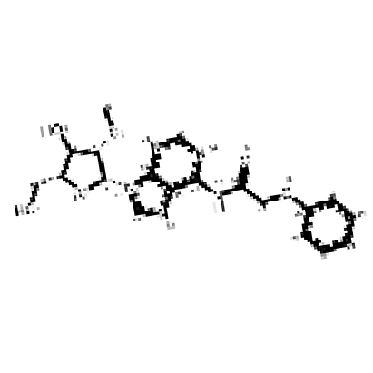 CO[C@H]1C(O)[C@@H](CO)O[C@H]1n1cnc2c(NC(=O)COc3ccccc3)ncnc21